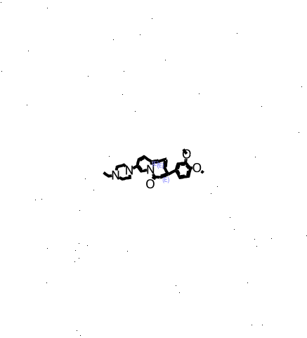 CCN1CCN(C2=CN3C(=O)\C=C(c4ccc(OC)c(OC)c4)/C=C/C=C/3C=C2)CC1